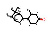 CC1CC(=O)CCC1C1CC2CC1C(C)(C)C2C